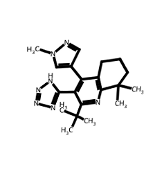 Cn1cc(-c2c3c(nc(C(C)(C)C)c2-c2nnn[nH]2)C(C)(C)CCC3)cn1